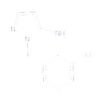 Nc1ccnn1Cc1cccc(Cl)c1